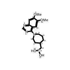 COc1cc2ncnc(N3CCCC(CP(O)O)CC3)c2cc1OC